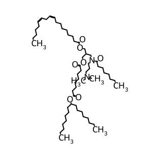 CCCCC/C=C\C/C=C\CCCCCCCC(=O)OCC(COC(=O)CCCCCCC(=O)OC(CCCCCCCC)CCCCCCCC)CN(CCCN(C)C)C(=O)CCCCCCC